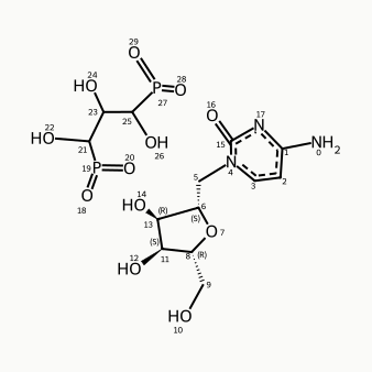 Nc1ccn(C[C@@H]2O[C@H](CO)[C@@H](O)[C@H]2O)c(=O)n1.O=P(=O)C(O)C(O)C(O)P(=O)=O